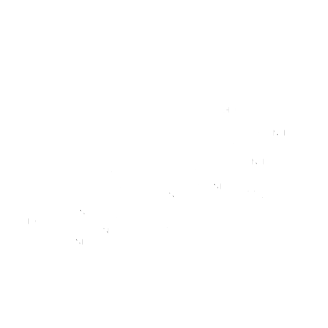 O=Cc1c(C(O)NC(CNC(=O)CNC(O)c2cc(O)cc(NC3=NCC(O)CN3)c2)C(=O)O)[nH]c2ccccc12